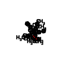 Cc1cc(C)c(-c2cc3c4c(c2)N(c2ccc(-c5ccccc5)cc2C)c2ccc(N(c5ccc(C(C)(C)C)cc5)c5ccc(C(C)(C)C)cc5)cc2B4N(c2cccc(-c4ccccc4)c2)c2ccc(-c4ccccc4)cc2-3)c(C)c1